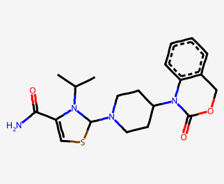 CC(C)N1C(C(N)=O)=CSC1N1CCC(N2C(=O)OCc3ccccc32)CC1